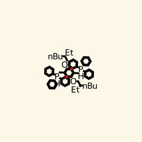 CCCCC(CC)COc1cc(C[PH](c2ccccc2)(c2ccccc2)c2ccccc2)c(OCC(CC)CCCC)cc1C[PH](c1ccccc1)(c1ccccc1)c1ccccc1